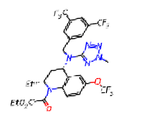 CCOC(=O)C(=O)N1c2ccc(OC(F)(F)F)cc2[C@@H](N(Cc2cc(C(F)(F)F)cc(C(F)(F)F)c2)c2nnn(C)n2)C[C@H]1CC